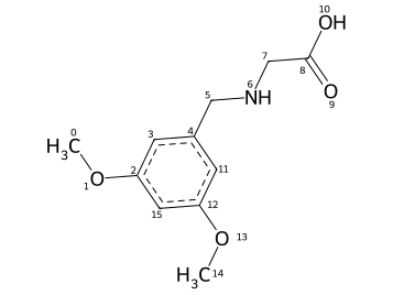 COc1cc(CNCC(=O)O)cc(OC)c1